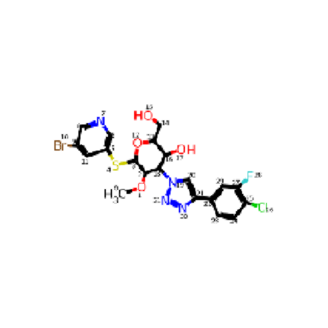 COC1C(Sc2cncc(Br)c2)OC(CO)C(O)C1n1cc(-c2ccc(Cl)c(F)c2)nn1